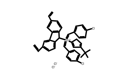 C=Cc1ccc2c(c1)-c1cc(C=C)ccc1[CH]2[Zr+2](=[CH]c1ccc(Cl)cc1)(=[CH]c1ccc(Cl)cc1)[C]1=CC(C(C)(C)C)=CC1.[Cl-].[Cl-]